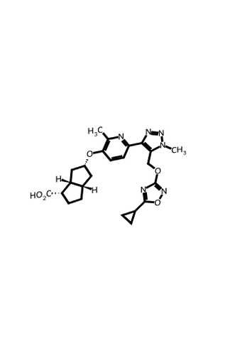 Cc1nc(-c2nnn(C)c2COc2noc(C3CC3)n2)ccc1O[C@@H]1C[C@@H]2CC[C@H](C(=O)O)[C@@H]2C1